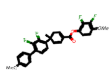 COc1ccc(-c2ccc(C3(C)C=CC(C(=O)Oc4ccc(OC)c(F)c4F)=CC3)c(F)c2F)cc1